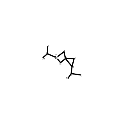 CC(C)C1CC12CN(C(C)C)C2